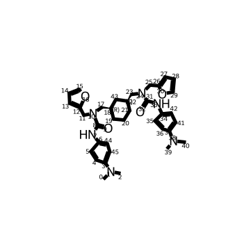 CN(C)c1ccc(NC(=O)N(Cc2ccco2)C[C@@H]2CCC[C@H](CN(Cc3ccco3)C(=O)Nc3ccc(N(C)C)cc3)C2)cc1